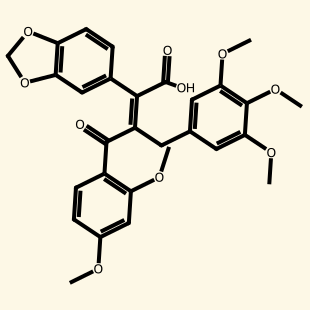 COc1ccc(C(=O)C(Cc2cc(OC)c(OC)c(OC)c2)=C(C(=O)O)c2ccc3c(c2)OCO3)c(OC)c1